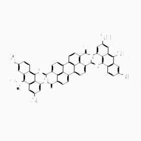 Nc1ccc2c(c1)c(N)c1cc(N)cc3c1c2nc1c2ccc4c5ccc6c(=O)n7c8cc([N+](=O)[O-])cc9c([N+](=O)[O-])c%10cc([N+](=O)[O-])ccc%10c(nc7c7ccc(c%10ccc(c(=O)n31)c2c4%10)c5c67)c98